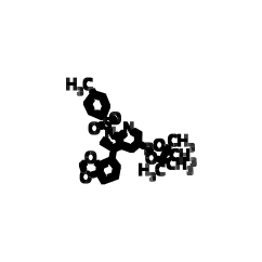 Cc1ccc(S(=O)(=O)n2cc(-c3cccc4c3OCO4)c3cc(B4OC(C)(C)C(C)(C)O4)cnc32)cc1